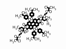 C=C(Cl)C(=O)OCCOC(=O)C(CC(C)C)N1C(=O)c2cc(Oc3ccc(C(C)C)cc3)c3c4c(Oc5ccc(C(C)C)cc5)cc5c6c(cc(Oc7ccc(C(C)C)cc7)c(c7c(Oc8ccc(C(C)C)cc8)cc(c2c37)C1=O)c64)C(=O)N(C(CC(C)C)C(=O)OCCOC(=O)C(C)Cl)C5=O